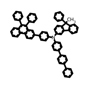 CC1(c2ccccc2)c2ccccc2-c2cc(N(c3ccc(-c4ccc(-c5ccccc5)cc4)cc3)c3ccc(-c4ccc5c(c4)c(-c4ccccc4)c(-c4ccccc4)c4ccccc45)cc3)ccc21